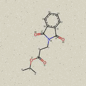 CC(C)OC(=O)CCN1C(=O)c2ccccc2C1=O